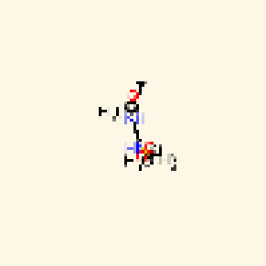 Cc1cc(OCC2CC2)ccc1NCCCCCNS(=O)(=O)C(C)(C)C